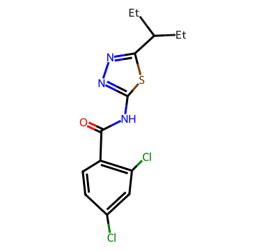 CCC(CC)c1nnc(NC(=O)c2ccc(Cl)cc2Cl)s1